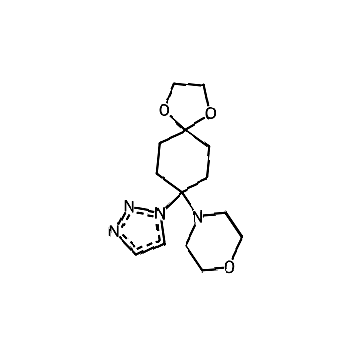 c1cn(C2(N3CCOCC3)CCC3(CC2)OCCO3)nn1